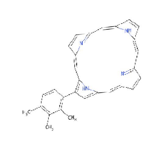 Cc1ccc(-c2cc3cc4nc(cc5ccc(cc6nc(cc2[nH]3)C=C6)[nH]5)C=C4)c(C)c1C